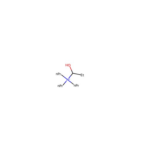 CCC[N+](CCC)(CCC)C(O)CC